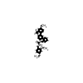 COc1ccc(-c2ccc3c(c2)C2(CCCC2)CN3C(=O)NCc2ccc(SC)cc2OC)c(C(F)(F)F)c1